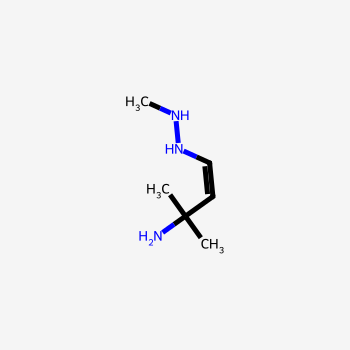 CNN/C=C\C(C)(C)N